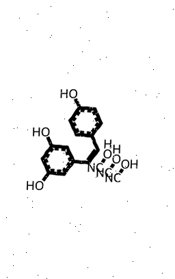 N#CO.N#CO.N#CO.Oc1ccc(/C=C\c2cc(O)cc(O)c2)cc1